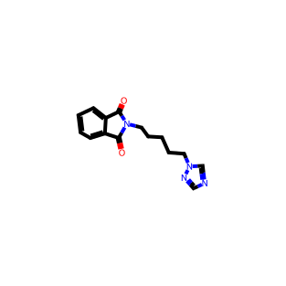 O=C1c2ccccc2C(=O)N1CCCCCn1cncn1